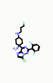 NC1(c2nc(-c3c(F)cccc3F)nn3c(Cl)cnc23)CCC(NCCCF)CC1